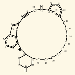 C1#CC2=Cc3cccc(c3C2)NC2CCNCC2CCCCCCCCCc2cccc(c2)NC1